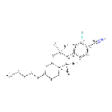 [2H]C1([2H])CC2CC(CCCCC)CCC2C([2H])([2H])C1c1ccc(C#N)c(F)c1